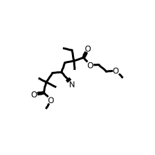 CCC(C)(CC(C#N)CC(C)(C)C(=O)OC)C(=O)OCCOC